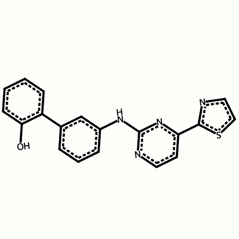 Oc1ccccc1-c1cccc(Nc2nccc(-c3nccs3)n2)c1